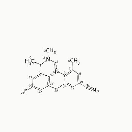 CCN(C)C=Nc1c(C)cc(C#N)cc1Cc1cccc(F)c1